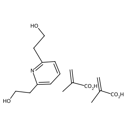 C=C(C)C(=O)O.C=C(C)C(=O)O.OCCc1cccc(CCO)n1